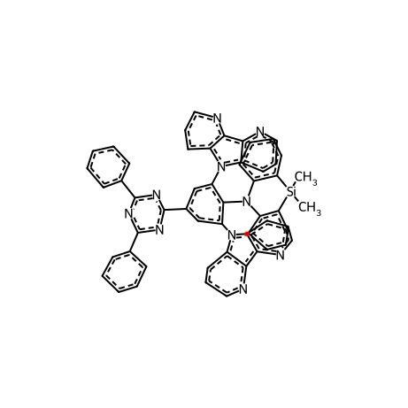 C[Si]1(C)c2ccccc2N(c2c(-n3c4cccnc4c4ncccc43)cc(-c3nc(-c4ccccc4)nc(-c4ccccc4)n3)cc2-n2c3cccnc3c3ncccc32)c2ccccc21